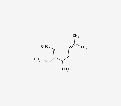 CC(C)=CCC(C(=O)O)C(=CC=O)CC(=O)O